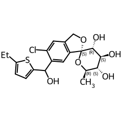 CCc1ccc(C(O)c2cc3c(cc2Cl)CO[C@]32O[C@H](C)[C@@H](O)[C@H](O)[C@H]2O)s1